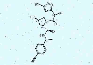 C#Cc1ccc([C@H](C)NC(=O)[C@@H]2C[C@@H](O)CN2C(=O)[C@@H](c2cc(C(C)C)no2)C(C)C)cc1